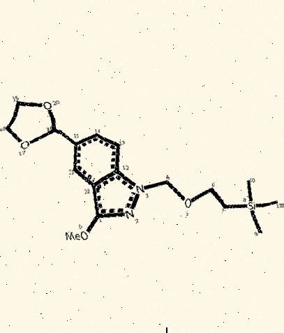 COc1nn(COCC[Si](C)(C)C)c2ccc(C3OCCO3)cc12